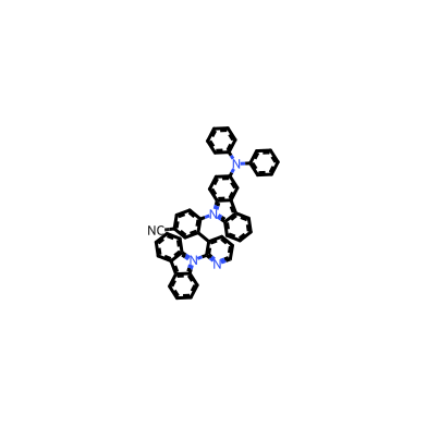 N#Cc1ccc(-n2c3ccccc3c3cc(N(c4ccccc4)c4ccccc4)ccc32)c(-c2cccnc2-n2c3ccccc3c3ccccc32)c1